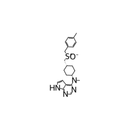 Cc1ccc(C[S+]([O-])C[C@H]2CC[C@@H](N(C)c3ncnc4[nH]ccc34)CC2)cc1